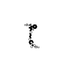 CCCCOc1c(C)c(COCCCCOC2CCN(C(=O)OC(C)(C)C)CC2)nc2ccccc12